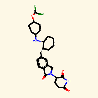 O=C1CCC(N2Cc3cc(C[C@H]4CCCC[C@@H]4NC4CCC(OC(F)F)CC4)ccc3C2=O)C(=O)N1